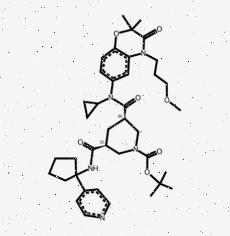 COCCCN1C(=O)C(C)(C)Oc2ccc(N(C(=O)[C@@H]3C[C@H](C(=O)NC4(c5ccncc5)CCCC4)CN(C(=O)OC(C)(C)C)C3)C3CC3)cc21